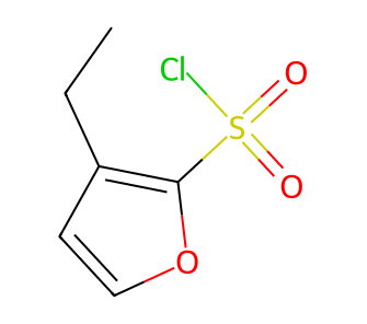 CCc1ccoc1S(=O)(=O)Cl